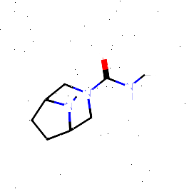 CCNC(=O)N1CC2CCC(C1)N2C